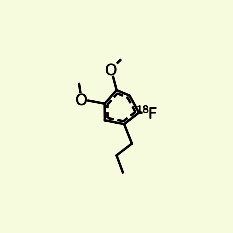 CCCc1cc(OC)c(OC)cc1[18F]